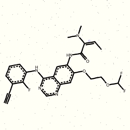 C#Cc1cccc(Nc2ncnc3cc(OCCOC(F)F)c(NC(=O)/C(=C\C)N(C)C)cc23)c1F